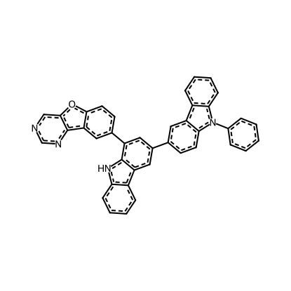 c1ccc(-n2c3ccccc3c3cc(-c4cc(-c5ccc6oc7cncnc7c6c5)c5[nH]c6ccccc6c5c4)ccc32)cc1